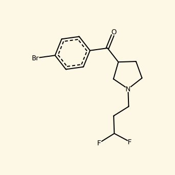 O=C(c1ccc(Br)cc1)C1CCN(CCC(F)F)C1